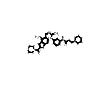 C=C(/N=C\c1ccc2sc(C(=O)N3CCOCC3)cc2c1N)Nc1cccc(NC(=O)CCN2CCCCC2)c1